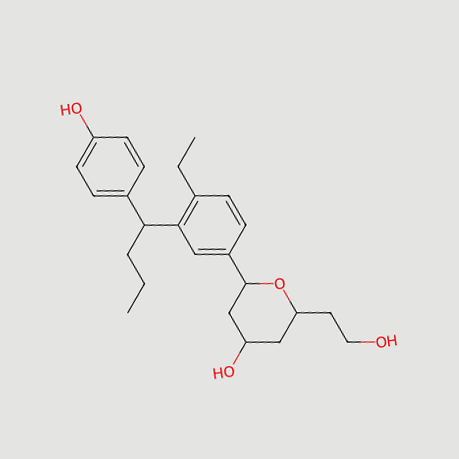 CCCC(c1ccc(O)cc1)c1cc(C2CC(O)CC(CCO)O2)ccc1CC